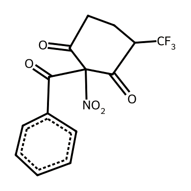 O=C1CCC(C(F)(F)F)C(=O)C1(C(=O)c1ccccc1)[N+](=O)[O-]